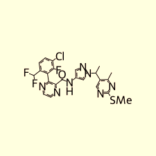 CSc1ncc(C(C)n2cc(NC(=O)c3nccnc3-c3c(C(F)F)ccc(Cl)c3F)cn2)c(C)n1